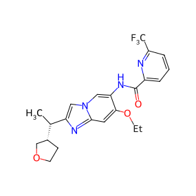 CCOc1cc2nc(C(C)[C@@H]3CCOC3)cn2cc1NC(=O)c1cccc(C(F)(F)F)n1